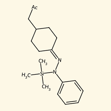 CC(=O)CC1CCC(=NN(c2ccccc2)[Si](C)(C)C)CC1